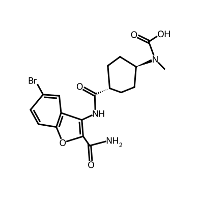 CN(C(=O)O)[C@H]1CC[C@H](C(=O)Nc2c(C(N)=O)oc3ccc(Br)cc23)CC1